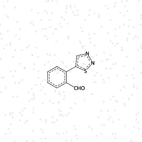 O=Cc1ccccc1-c1cnns1